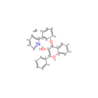 O=c1c(O)c(-c2ccccc2)oc2ccccc12.[Ir].c1ccc(-c2ccccn2)cc1